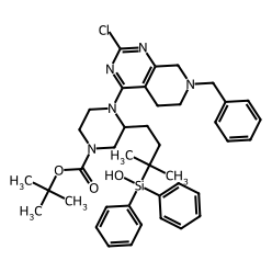 CC(C)(C)OC(=O)N1CCN(c2nc(Cl)nc3c2CCN(Cc2ccccc2)C3)C(CCC(C)(C)[Si](O)(c2ccccc2)c2ccccc2)C1